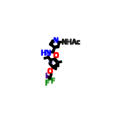 CC(=O)Nc1cc(C(=O)NC(C)/C(C=C(C)C)=C/C2(OCC(F)(F)I)CC2C)ccn1